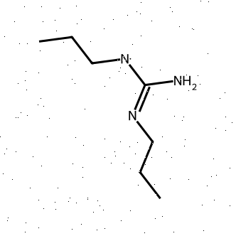 CCC[N]C(N)=NCCC